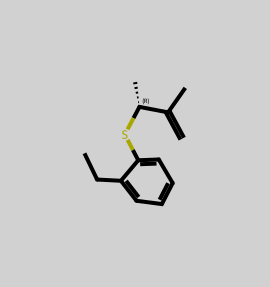 C=C(C)[C@@H](C)Sc1ccccc1CC